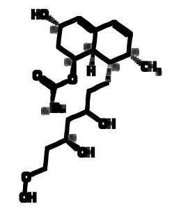 CC[C@H](C)C(=O)O[C@H]1C[C@H](O)C=C2C=C[C@H](C)[C@H](CCC(O)C[C@@H](O)CCOO)[C@H]21